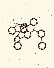 c1ccc(-c2cccc(N(c3ccc4c(c3)C3(c5ccccc5Oc5ccccc53)c3ccc5ccccc5c3-4)c3ccccc3-c3ccccc3)c2)cc1